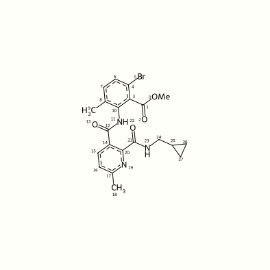 COC(=O)c1c(Br)ccc(C)c1NC(=O)c1ccc(C)nc1C(=O)NCC1CC1